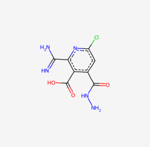 N=C(N)c1nc(Cl)cc(C(=O)NN)c1C(=O)O